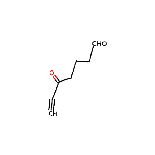 C#CC(=O)CCCC=O